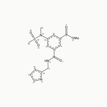 COC(=O)c1cc(C(=O)NCc2nccs2)cc(N(C)S(C)(=O)=O)c1